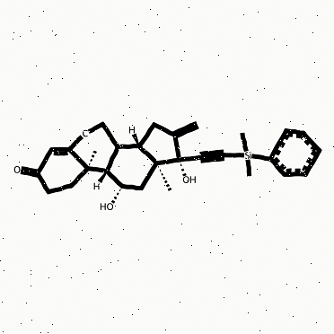 C=C1C[C@H]2C3CCC4=CC(=O)CC[C@]4(C)[C@H]3[C@@H](O)C[C@]2(C)[C@]1(O)C#C[Si](C)(C)c1ccccc1